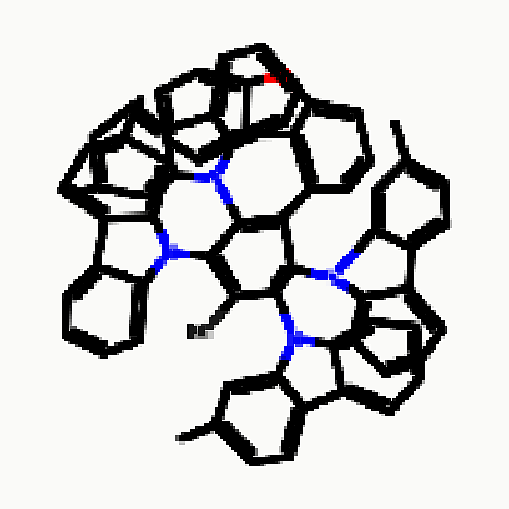 Cc1ccc2c3ccccc3n(-c3c(C#N)c(-n4c5ccccc5c5ccc(C)cc54)c(-n4c5ccccc5c5ccc(C)cc54)c(-c4cccc5oc6ccccc6c45)c3-n3c4ccccc4c4ccc(C)cc43)c2c1